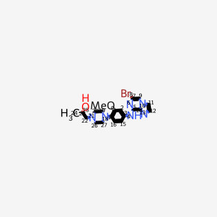 COc1cc(Nc2nc(Br)cn3ccnc23)ccc1N1CCN(C[C@H](C)O)CC1